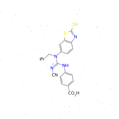 CC(C)CN(/C(=N/C#N)Nc1ccc(C(=O)O)cc1)c1ccc2nc(S)sc2c1